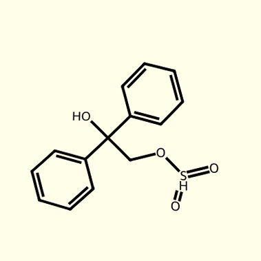 O=[SH](=O)OCC(O)(c1ccccc1)c1ccccc1